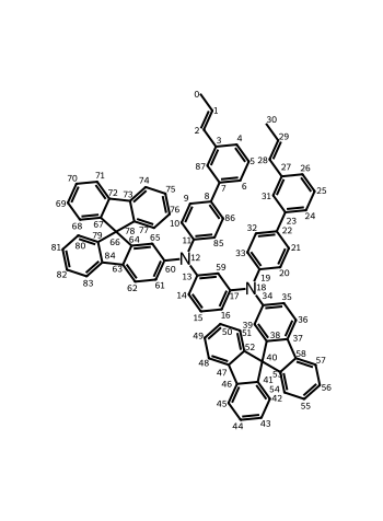 CC=Cc1cccc(-c2ccc(N(c3cccc(N(c4ccc(-c5cccc(/C=C/C)c5)cc4)c4ccc5c(c4)C4(c6ccccc6-c6ccccc64)c4ccccc4-5)c3)c3ccc4c(c3)C3(c5ccccc5-c5ccccc53)c3ccccc3-4)cc2)c1